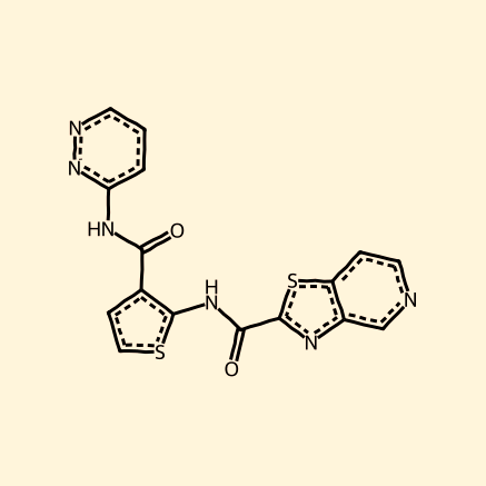 O=C(Nc1sccc1C(=O)Nc1cccnn1)c1nc2cnccc2s1